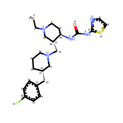 CC(=O)CN1CC[C@@H](NC(=O)Nc2nccs2)[C@H](CN2CCC[C@@H](Cc3ccc(F)cc3)C2)C1